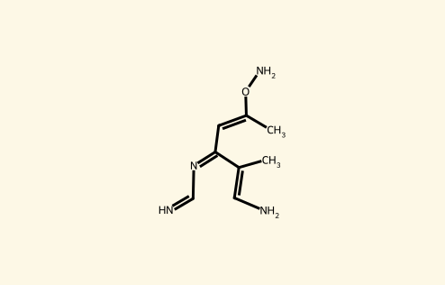 C\C(=C/C(=N/C=N)C(/C)=C/N)ON